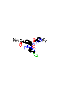 COC(=O)/C=C/c1ccc(NC(=O)C2CCN(C(C)C)CC2)c(C(=O)Nc2ccc(Cl)cn2)c1